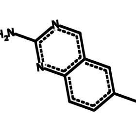 Nc1ncc2cc(I)ccc2n1